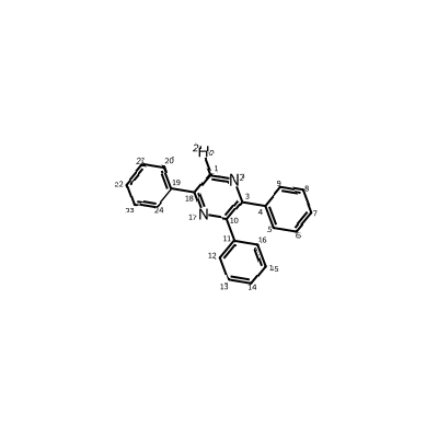 [2H]c1nc(-c2ccccc2)c(-c2ccccc2)nc1-c1ccccc1